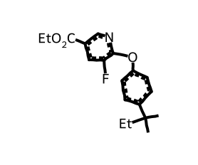 CCOC(=O)c1cnc(Oc2ccc(C(C)(C)CC)cc2)c(F)c1